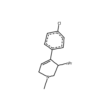 CCCC1CN(C)CC=C1c1ccc(Cl)cc1